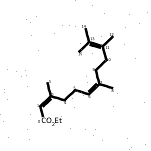 CCOC(=O)C=C(C)CCC=C(C)CCC(C)=C(C)C